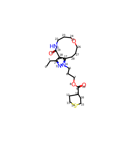 CCc1nn(CCCOC(=O)C2CCSCC2)c2c1C(=O)NCCCOCCC2